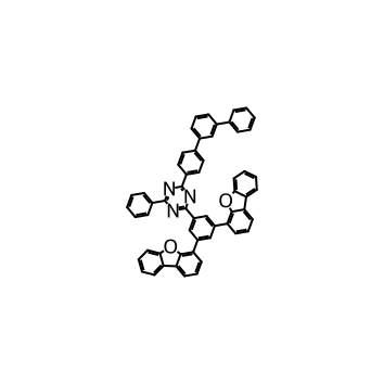 c1ccc(-c2cccc(-c3ccc(-c4nc(-c5ccccc5)nc(-c5cc(-c6cccc7c6oc6ccccc67)cc(-c6cccc7c6oc6ccccc67)c5)n4)cc3)c2)cc1